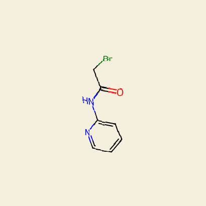 O=C(CBr)Nc1ccccn1